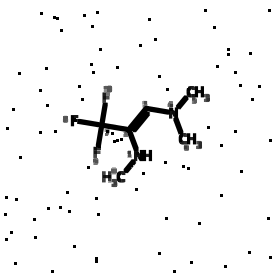 CN/C(=C\N(C)C)C(F)(F)F